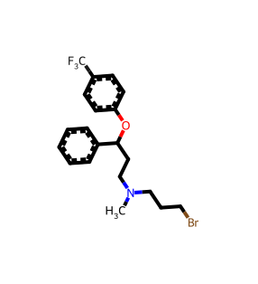 CN(CCCBr)CCC(Oc1ccc(C(F)(F)F)cc1)c1ccccc1